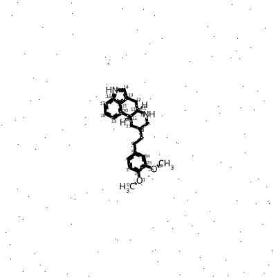 COc1ccc(CCC2CN[C@@H]3Cc4c[nH]c5cccc(c45)[C@H]3C2)cc1OC